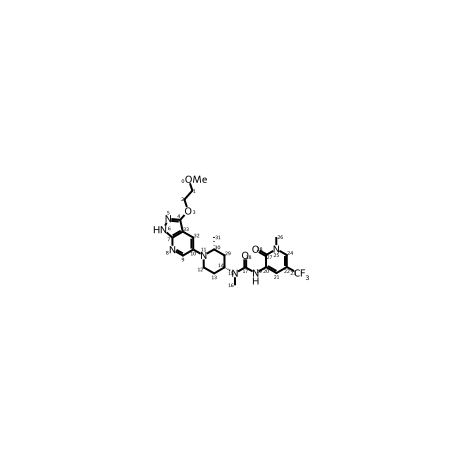 COCCOc1n[nH]c2ncc(N3CC[C@@H](N(C)C(=O)Nc4cc(C(F)(F)F)cn(C)c4=O)C[C@H]3C)cc12